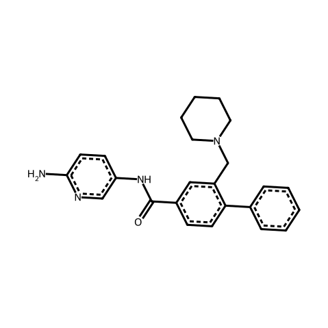 Nc1ccc(NC(=O)c2ccc(-c3ccccc3)c(CN3CCCCC3)c2)cn1